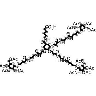 CC(=O)N[C@H]1[C@H](OCCCCC(=O)NCCCNC(=O)CCOC2[C@H](OCCC(=O)NCCCNC(=O)CCCCO[C@@H]3O[C@H](COC(C)=O)[C@H](OC(C)=O)[C@H](OC(C)=O)[C@H]3NC(C)=O)CC(C(=O)NCCCCCC(=O)O)C[C@H]2OCCC(=O)NCCCNC(=O)CCCCO[C@@H]2O[C@H](COC(C)=O)[C@H](OC(C)=O)[C@H](OC(C)=O)[C@H]2NC(C)=O)O[C@H](COC(C)=O)[C@H](OC(C)=O)[C@@H]1OC(C)=O